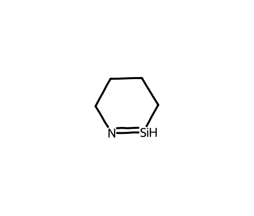 C1CC[SiH]=NC1